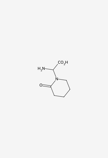 NC(C(=O)O)N1CCCCC1=O